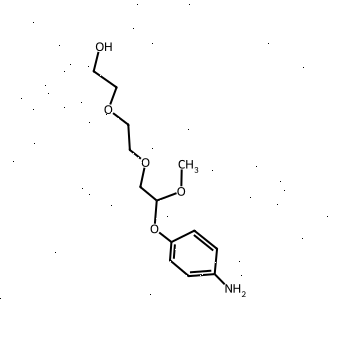 COC(COCCOCCO)Oc1ccc(N)cc1